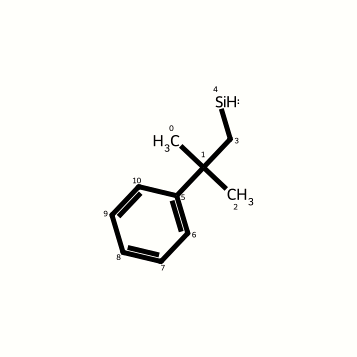 CC(C)(C[SiH])c1ccccc1